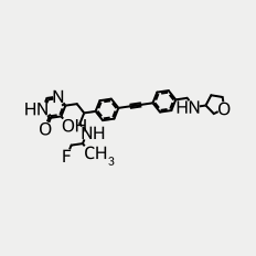 CC(CF)NCC(Cc1nc[nH]c(=O)c1O)c1ccc(C#Cc2ccc(CNC3CCOC3)cc2)cc1